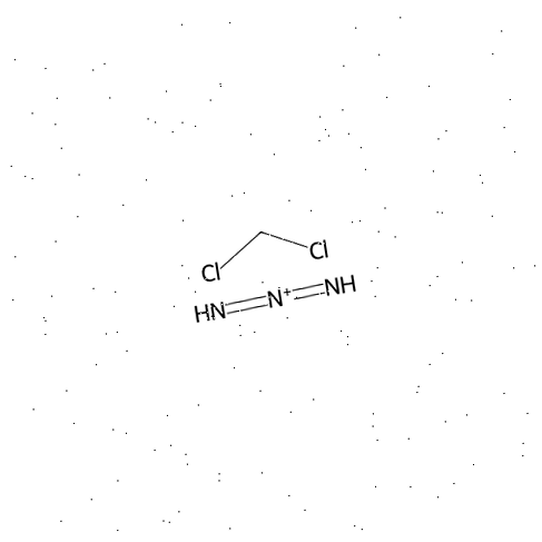 ClCCl.N=[N+]=N